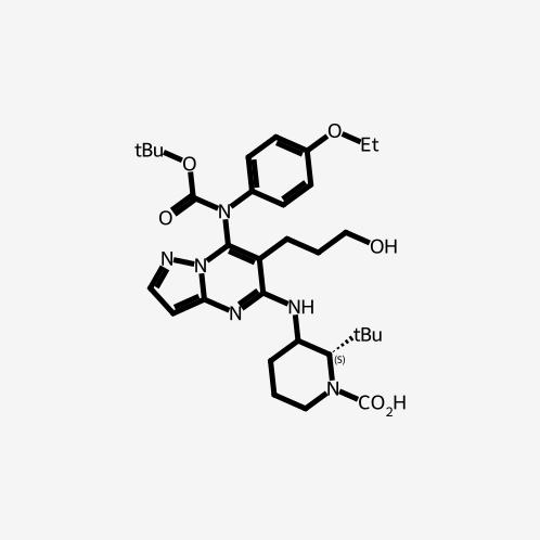 CCOc1ccc(N(C(=O)OC(C)(C)C)c2c(CCCO)c(NC3CCCN(C(=O)O)[C@H]3C(C)(C)C)nc3ccnn23)cc1